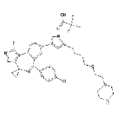 Cc1nnc2n1-c1ccc(-c3cnn(CCCCOCCN4CCNCC4)c3)cc1C(c1ccc(Cl)cc1)=NC21CC1.O=C(O)C(F)(F)F